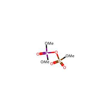 COP(=O)(OC)OS(=O)(=O)OC